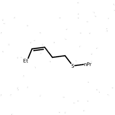 CC/C=C\CCSCCC